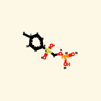 Cc1ccc(S(=O)(=O)CO[PH](=O)O)cc1